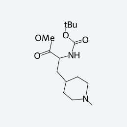 COC(=O)C(CC1CCN(C)CC1)NC(=O)OC(C)(C)C